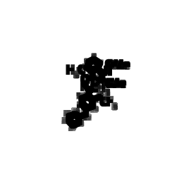 CNC(=O)/C(=N/OC)c1cccc(C)c1CO/N=C(\C)c1ccc(Cc2ccccc2)cc1CC(F)(F)F